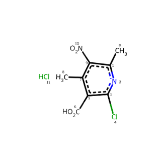 Cc1nc(Cl)c(C(=O)O)c(C)c1[N+](=O)[O-].Cl